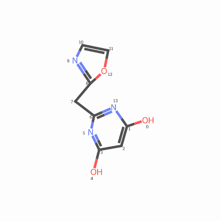 Oc1cc(O)nc(Cc2ncco2)n1